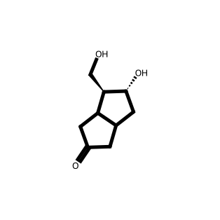 O=C1CC2C[C@@H](O)[C@H](CO)C2C1